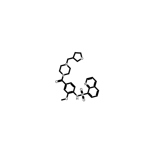 COc1cc(C(=O)N2CCN(CC3CCOC3)CC2)ccc1NS(=O)(=O)c1cccc2cccnc12